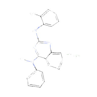 Cc1ccccc1Nc1nc(N(C)c2ccccc2)c2ccccc2n1.Cl.Cl